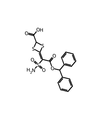 NS(=O)(=O)C(C(=O)OC(c1ccccc1)c1ccccc1)=C1SC(C(=O)O)S1